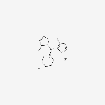 CC1=[C]([Hf+2]([C]2=C(C)C=CC2)[SiH]2CCCCC2)CC=C1.[Cl-].[Cl-]